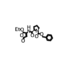 CCO[C@@H]1OC(=O)C=C1NC(=O)[C@H]1CCCN1C(=O)OCc1ccccc1